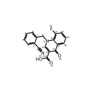 N#Cc1ccccc1Cn1cc(C(=O)O)c(=O)c2cccc(F)c21